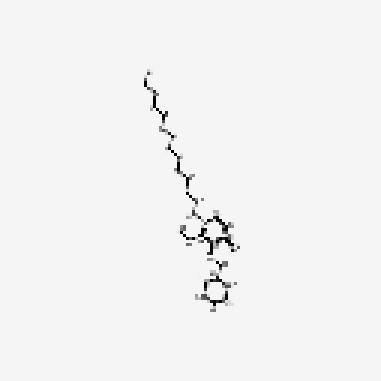 CCCCCCCCCCCCCCn1ccc(=O)c(OCc2ccccc2)c1CC